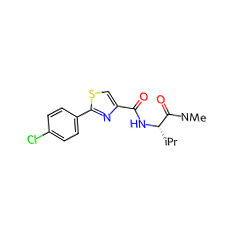 CNC(=O)[C@@H](NC(=O)c1csc(-c2ccc(Cl)cc2)n1)C(C)C